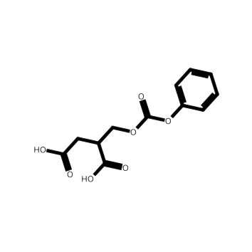 O=C(O)CC(COC(=O)Oc1ccccc1)C(=O)O